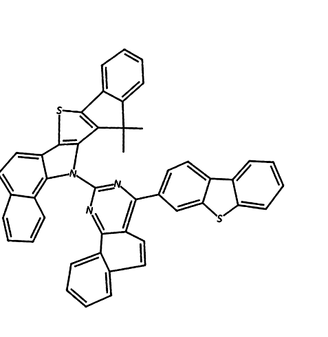 CC1(C)c2ccccc2-c2sc3c4ccc5ccccc5c4n(-c4nc(-c5ccc6c(c5)sc5ccccc56)c5ccc6ccccc6c5n4)c3c21